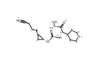 C#CCCC[C@@H]1C[C@H]1OC(=O)N[C@H](C(=O)OC)C1CCOCC1